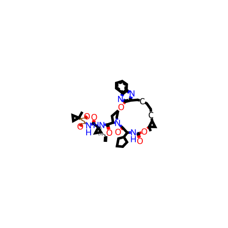 C=C[C@@H]1C[C@]1(NC(=O)C1CC2CN1C(=O)C(C1CCCC1)NC(=O)OC1(C)CC1CCCCCc1nc3ccccc3nc1O2)C(=O)NS(=O)(=O)C1(C)CC1